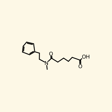 CN(CCc1ccccc1)C(=O)CCCCC(=O)O